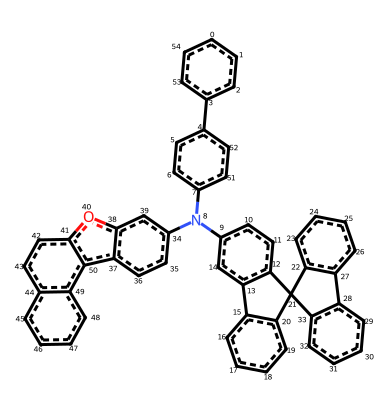 c1ccc(-c2ccc(N(c3ccc4c(c3)-c3ccccc3C43c4ccccc4-c4ccccc43)c3ccc4c(c3)oc3ccc5ccccc5c34)cc2)cc1